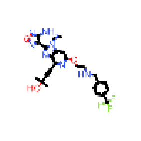 CCn1c(-c2nonc2N)nc2c(C#CC(C)(C)O)nc(OCCNCc3ccc(C(F)(F)F)cc3)cc21